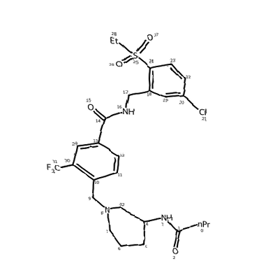 CCCC(=O)NC1CCCN(Cc2ccc(C(=O)NCc3cc(Cl)ccc3S(=O)(=O)CC)cc2C(F)(F)F)C1